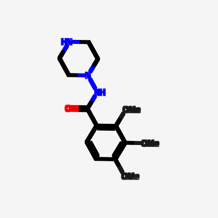 COc1ccc(C(=O)NN2CCNCC2)c(OC)c1OC